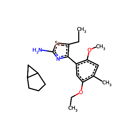 C1CC2CC2C1.CCOc1cc(-c2nc(N)sc2CC)c(OC)cc1C